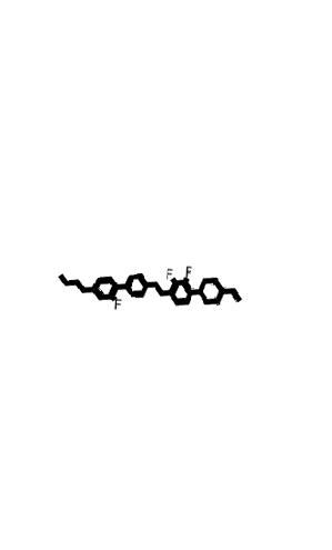 CCCCc1ccc(-c2ccc(CCc3ccc(C4CCC(CC)CC4)c(F)c3F)cc2)c(F)c1